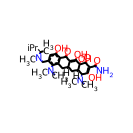 CC(C)[C@@H](C)N(C)Cc1cc(O)c2c(c1N(C)C)C[C@H]1C[C@H]3[C@H](N(C)C)C(O)=C(C(N)=O)C(=O)[C@@]3(O)C(O)=C1C2=O